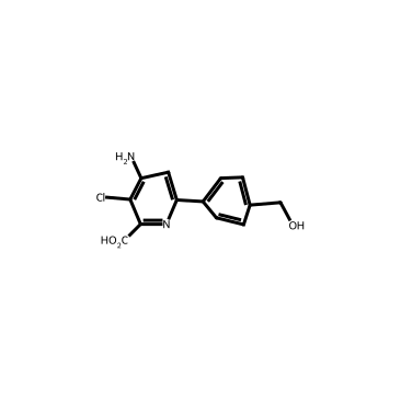 Nc1cc(-c2ccc(CO)cc2)nc(C(=O)O)c1Cl